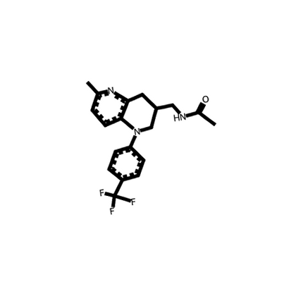 CC(=O)NCC1Cc2nc(C)ccc2N(c2ccc(C(F)(F)F)cc2)C1